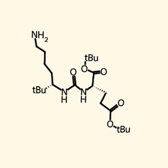 CC(C)(C)OC(=O)CC[C@H](NC(=O)N[C@@H](CCCCN)C(C)(C)C)C(=O)OC(C)(C)C